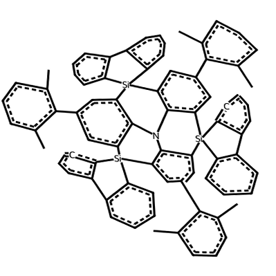 Cc1cccc(C)c1-c1cc2c3c(c1)[Si]1(c4ccccc4-c4ccccc41)c1cc(-c4c(C)cccc4C)cc4c1N3c1c(cc(-c3c(C)cccc3C)cc1[Si]41c3ccccc3-c3ccccc31)[Si]21c2ccccc2-c2ccccc21